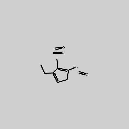 CCC1=CC[C]([Mn])=C1C.[C]=O.[C]=O.[C]=O